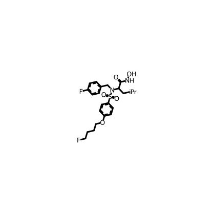 CC(C)CC(C(=O)NO)N(Cc1ccc(F)cc1)S(=O)(=O)c1ccc(OCCCCF)cc1